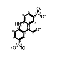 O=CNc1cc([N+](=O)[O-])ccc1Nc1ccc([N+](=O)[O-])cc1